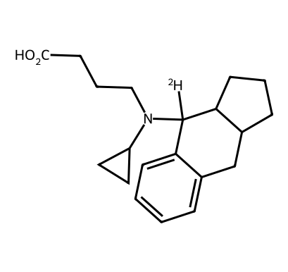 [2H]C1(N(CCCC(=O)O)C2CC2)c2ccccc2CC2CCCC21